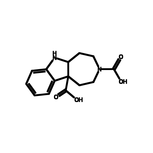 O=C(O)N1CCC2Nc3ccccc3C2(C(=O)O)CC1